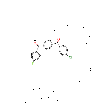 O=C(c1ccc(F)cc1)c1ccc(C(=O)c2ccc(Cl)cc2)cc1